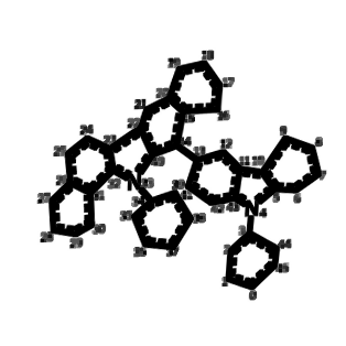 c1ccc(-n2c3ccccc3c3cc(-c4c5ccccc5cc5c6ccc7ccccc7c6n(-c6ccccc6)c45)ccc32)cc1